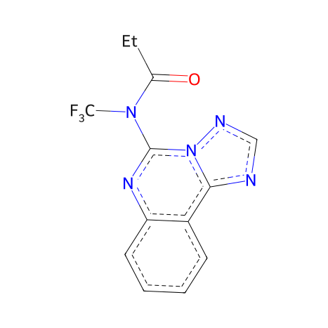 CCC(=O)N(c1nc2ccccc2c2ncnn12)C(F)(F)F